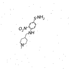 CN1CCC(CNc2ccc(SN)cc2[N+](=O)[O-])CC1